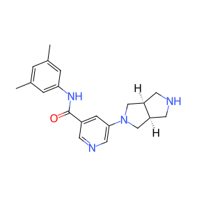 Cc1cc(C)cc(NC(=O)c2cncc(N3C[C@H]4CNC[C@H]4C3)c2)c1